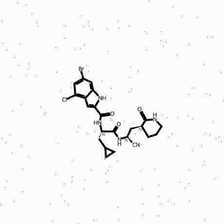 N#C[C@H](C[C@@H]1CCCNC1=O)NC(=O)[C@H](CC1CC1)NC(=O)c1cc2c(Cl)cc(Br)cc2[nH]1